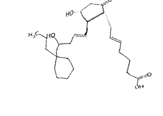 CCCC1(C(O)CC=C[C@H]2[C@H](O)CC(=O)[C@@H]2CC=CCCCC(=O)O)CCCCC1